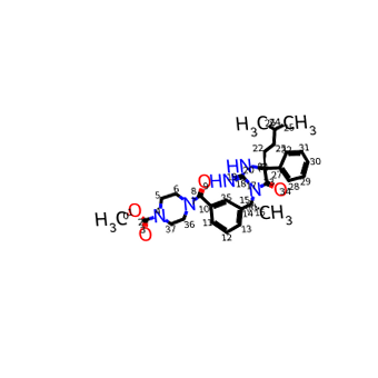 COC(=O)N1CCN(C(=O)c2cccc([C@@H](C)N3C(=N)N[C@](CCC(C)C)(c4ccccc4)C3=O)c2)CC1